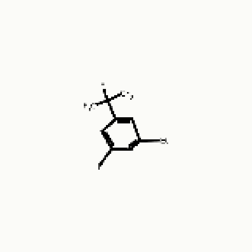 CCc1[c]c(I)cc(C(F)(C(F)(F)F)C(F)(F)F)c1